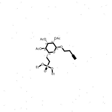 C#CCCO[C@H]1O[C@H](CCP(=O)(OCC)OCC)[C@@H](OC(C)=O)[C@H](OC(C)=O)[C@@H]1OC(C)=O